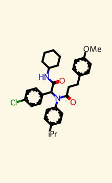 COc1ccc(CCC(=O)N(c2ccc(C(C)C)cc2)C(C(=O)NC2CCCCC2)c2ccc(Cl)cc2)cc1